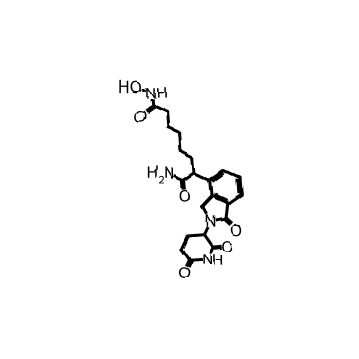 NC(=O)C(CCCCCC(=O)NO)c1cccc2c1CN(C1CCC(=O)NC1=O)C2=O